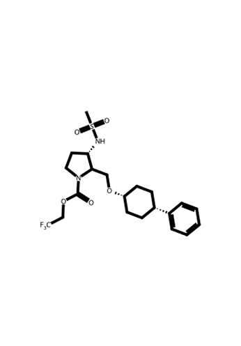 CS(=O)(=O)N[C@H]1CCN(C(=O)OCC(F)(F)F)C1CO[C@H]1CC[C@@H](c2ccccc2)CC1